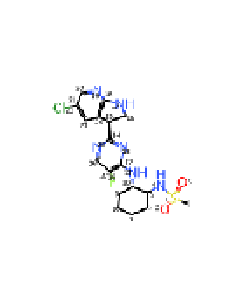 CS(=O)(=O)NC1CCCC[C@H]1Nc1nc(C2CNc3ncc(Cl)cc32)ncc1F